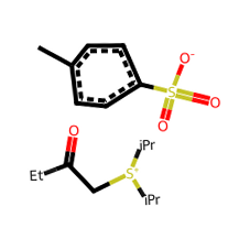 CCC(=O)C[S+](C(C)C)C(C)C.Cc1ccc(S(=O)(=O)[O-])cc1